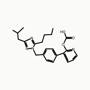 CCCCc1nc(CC(C)C)nn1Cc1ccc(-c2cccnc2OC(=O)O)cc1